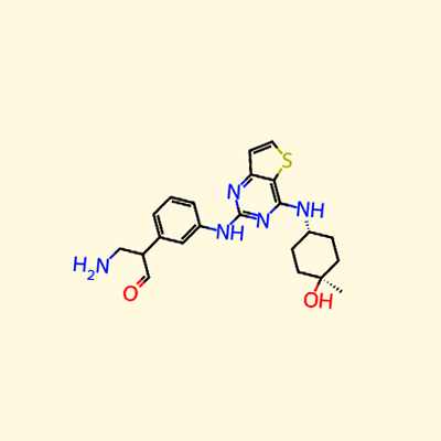 C[C@]1(O)CC[C@H](Nc2nc(Nc3cccc(C(C=O)CN)c3)nc3ccsc23)CC1